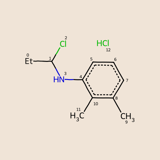 CCC(Cl)Nc1cccc(C)c1C.Cl